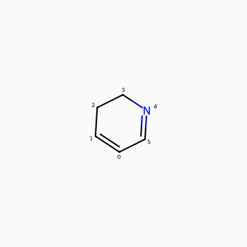 C1=CCCN=C1